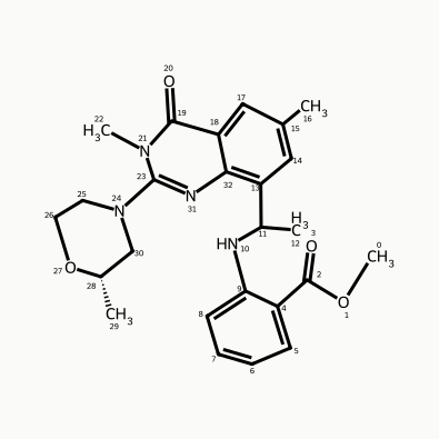 COC(=O)c1ccccc1NC(C)c1cc(C)cc2c(=O)n(C)c(N3CCO[C@@H](C)C3)nc12